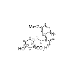 COc1ccc2ncc(F)c(CC[C@H]3CC[C@@H](O)CN3C(=O)O)c2n1